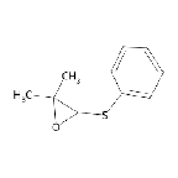 CC1(C)OC1Sc1ccccc1